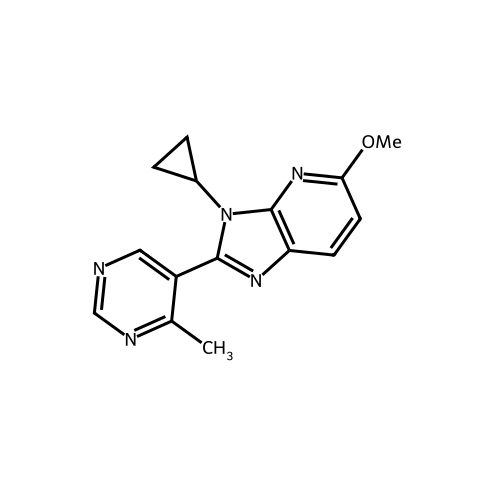 COc1ccc2nc(-c3cncnc3C)n(C3CC3)c2n1